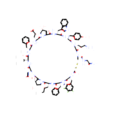 CCCC[C@H]1C(=O)N2C[C@H](O)C[C@@H]2C(=O)N[C@@H](CC(=O)O)C(=O)N[C@@H](C(C)C)C(=O)N(C)[C@@H](Cc2ccccc2)C(=O)N[C@@H](CCC(=O)O)C(=O)N2C[C@@H](O)C[C@@H]2C(=O)N[C@@H](Cc2c[nH]c3ccccc23)C(=O)N[C@@H](Cc2ccc(O)cc2)C(=O)N[C@@H](CCCN)C(=O)N[C@H](C(=O)NCC(N)=O)CSCC(=O)N[C@@H](Cc2cc(F)c(F)c(F)c2)C(=O)N(C)[C@@H](Cc2ccccc2)C(=O)N1C